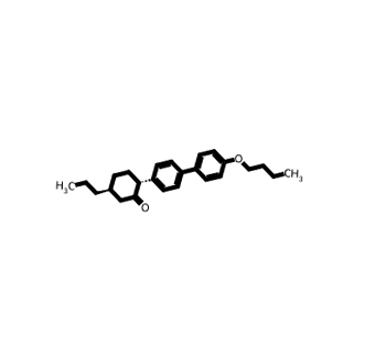 CCCCOc1ccc(-c2ccc([C@H]3CC[C@H](CCC)CC3=O)cc2)cc1